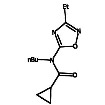 CCCCN(C(=O)C1CC1)c1nc(CC)no1